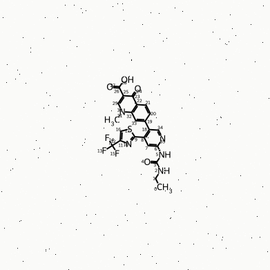 CCNC(=O)Nc1cc(-c2nc(C(F)(F)F)cs2)c(-c2ccc3c(=O)c(C(=O)O)cn(C)c3c2)cn1